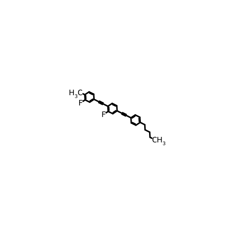 CCCCCc1ccc(C#Cc2ccc(C#Cc3ccc(C)c(F)c3)c(F)c2)cc1